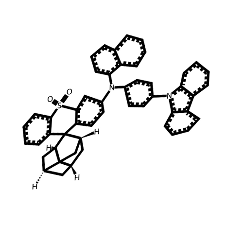 O=S1(=O)c2ccccc2C2(c3ccc(N(c4ccc(-n5c6ccccc6c6ccccc65)cc4)c4cccc5ccccc45)cc31)[C@H]1C[C@H]3C[C@H](C[C@H]2C3)C1